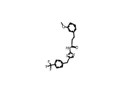 COc1cccc(CCC(=O)Nc2ncc(Cc3ccc(C(F)(F)F)cc3)s2)c1